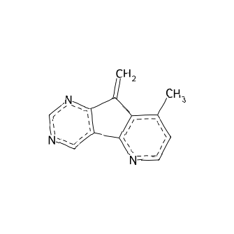 C=C1c2ncncc2-c2nccc(C)c21